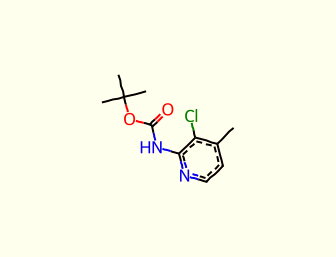 Cc1ccnc(NC(=O)OC(C)(C)C)c1Cl